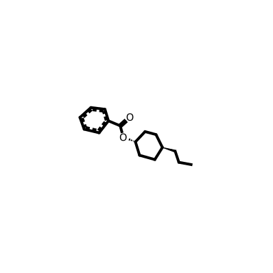 CCC[C@H]1CC[C@H](OC(=O)c2ccccc2)CC1